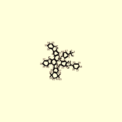 CC(C)(C)c1ccc(N2B3c4cc5nc(-c6ccccc6)sc5cc4-n4c5cc6c(cc5c5c7c(sc8ccccc87)c(c3c54)-c3cc4c(cc32)sc2ccccc24)C(C)(C)CCC6(C)C)cc1